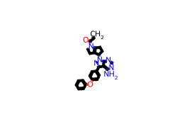 C=CC(=O)N1CCC2=C1CCC2n1nc(-c2ccc(Oc3ccccc3)cc2)c2c(N)ncnc21